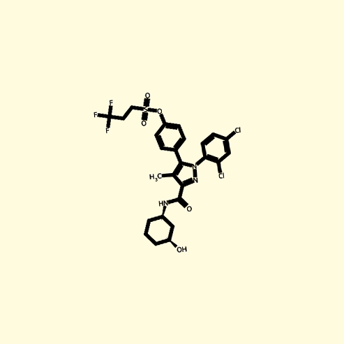 Cc1c(C(=O)N[C@@H]2CCC[C@H](O)C2)nn(-c2ccc(Cl)cc2Cl)c1-c1ccc(OS(=O)(=O)CCC(F)(F)F)cc1